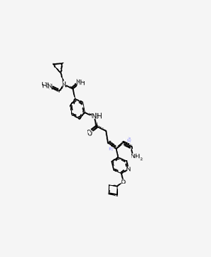 N=CN(C(=N)c1cccc(NC(=O)C/C=C(\C=C/N)c2ccc(OC3CCC3)nc2)c1)C1CC1